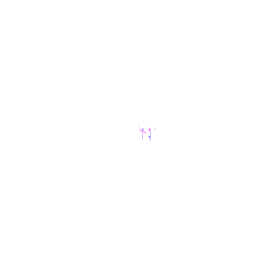 CCCCCCCCCCCCCCCCCCC[N+]([O-])(CCCCCCCCCCCCCCCCCCC)CCCCCCCCCCCCCCCCCCC